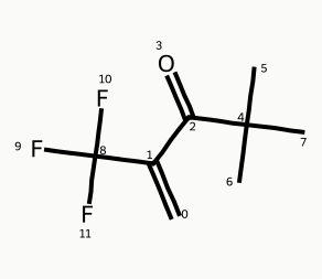 C=C(C(=O)C(C)(C)C)C(F)(F)F